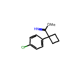 COC(=N)C1(c2ccc(Cl)cc2)CCC1